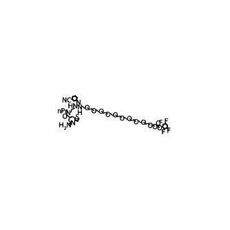 CCCN(CCCN/C(=N\c1cccc(C#N)c1)NCCOCCOCCOCCOCCOCCOCCOCCOCCOCCOCOC(=O)Oc1c(F)c(F)cc(F)c1F)C(=O)C1=Cc2sccc2N=C(N)C1